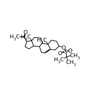 CC(=O)C1CCC2C3CC=C4CC(OS(=O)(=O)C(C)(C)C)CCC4(C)C3CCC12C